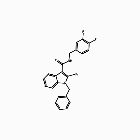 CC(C)c1c(C(=O)NCc2ccc(F)c(F)c2)c2cc[c]cc2n1Cc1ccccc1